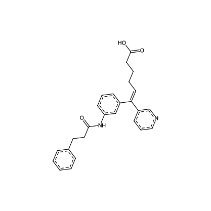 O=C(O)CCCC=C(c1cccnc1)c1cccc(NC(=O)CCc2ccccc2)c1